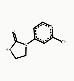 Cc1cc(N2CCNC2=O)ccn1